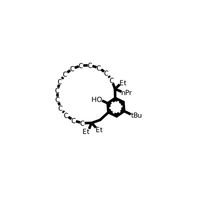 CCCC1(CC)CCCCCCCCCCCCCCC(CC)(CC)Cc2cc(C(C)(C)C)cc1c2O